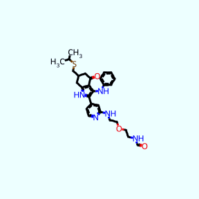 CC(C)SCC1CC(=O)c2c([nH]c(-c3ccnc(NCCOCCNC=O)c3)c2Nc2ccccc2)C1